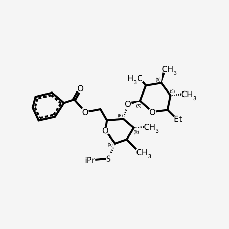 CCC1O[C@@H](O[C@H]2C(COC(=O)c3ccccc3)O[C@@H](SC(C)C)C(C)[C@H]2C)C(C)[C@@H](C)[C@@H]1C